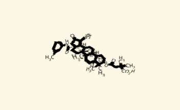 Cc1cccc(NC(=O)[C@@]23CC[C@]4(C)[C@H](CC[C@@H]5[C@@]6(C)CC[C@H](OC(=O)CC(C)(C)C(=O)O)C(C)(C)[C@@H]6CC[C@]54C)C2=C(C(C)C)C(=O)C3)c1